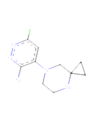 Nc1nnc(Cl)cc1N1CCNC2(CC2)C1